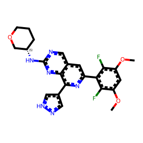 COc1cc(OC)c(F)c(-c2cc3cnc(N[C@H]4CCCOC4)nc3c(-c3cn[nH]c3)n2)c1F